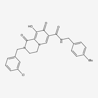 CC(C)(C)c1ccc(CNC(=O)c2cn3c(c(O)c2=O)C(=O)N(Cc2cccc(Cl)c2)CC3)cc1